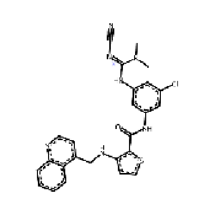 CN(C)/C(=N\C#N)Nc1cc(Cl)cc(NC(=O)c2sccc2NCc2ccnc3ccccc23)c1